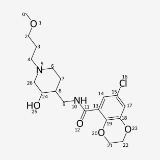 COCCCN1CCC(CNC(=O)c2cc(Cl)cc3c2OCCO3)C(O)C1